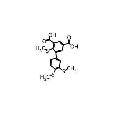 CSc1ccc(-c2cc(C(=O)O)cc(C(=O)O)c2SC)cc1SC